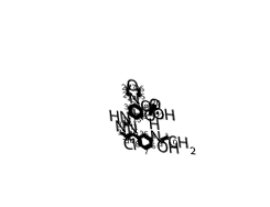 C=CC(O)Nc1cccc(-c2nc(Nc3ccc(OP(=O)(O)O)c(N4CCOCC4)c3)ncc2Cl)c1